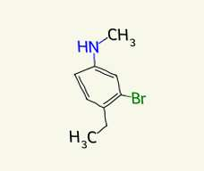 CCc1ccc(NC)cc1Br